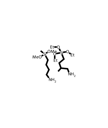 CCO[Si](CCC(C)CN)(OCC)OCC.CO[Si](C)(CCCCN)OC